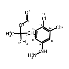 CC(C)(C)OC=O.NNc1ccc(Cl)c(Cl)c1